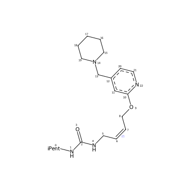 CCCC(C)NC(=O)NC/C=C\COc1cc(CN2CCCCC2)ccn1